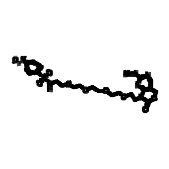 CSc1ncc2c(n1)N(CCOCCOCCOCCOCCNS(=O)(=O)c1ccc([N+](=O)[O-])cc1)C(=O)OC2